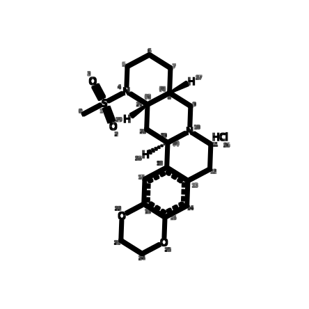 CS(=O)(=O)N1CCC[C@@H]2CN3CCc4cc5c(cc4[C@H]3C[C@@H]21)OCCO5.Cl